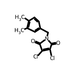 Cc1ccc(CN2C(=O)C(Cl)=C(Cl)C2=O)cc1C